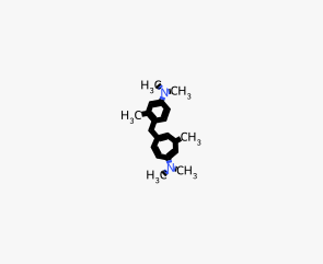 Cc1cc(N(C)C)ccc1CC1=CC(C)C=C(N(C)C)C=C1